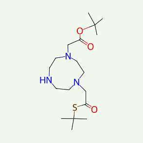 CC(C)(C)OC(=O)CN1CCNCCN(CC(=O)SC(C)(C)C)CC1